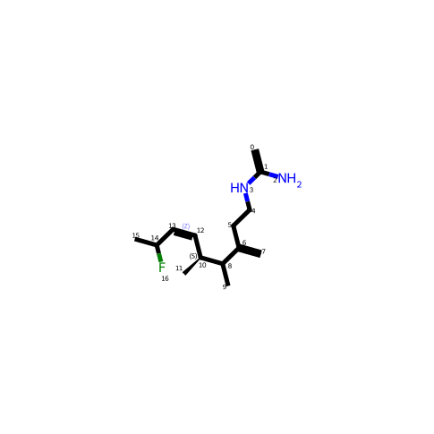 C=C(N)NCCC(=C)C(C)[C@@H](C)/C=C\C(C)F